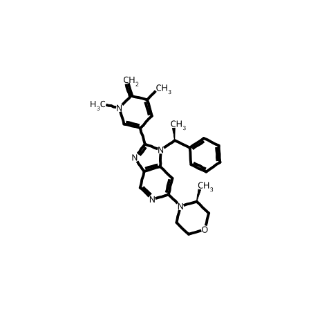 C=C1C(C)=CC(c2nc3cnc(N4CCOC[C@@H]4C)cc3n2[C@@H](C)c2ccccc2)=CN1C